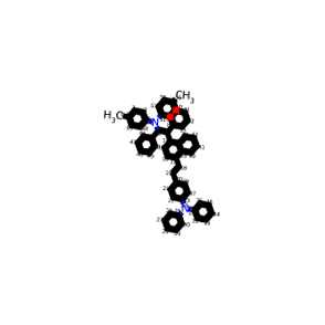 Cc1ccc(N(C(=C(c2ccccc2)c2ccc(C=Cc3ccc(N(c4ccccc4)c4ccccc4)cc3)c3ccccc23)c2ccccc2)c2ccc(C)cc2)cc1